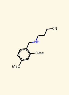 COc1ccc(CNCCCC#N)c(OC)c1